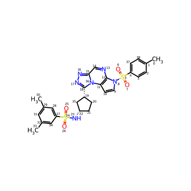 Cc1ccc(S(=O)(=O)n2ccc3c2ncc2nnc([C@@H]4CC[C@H](NS(=O)(=O)c5cc(C)cc(C)c5)C4)n23)cc1